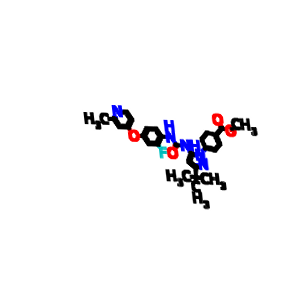 COC(=O)C1=CC=C(n2nc(C(C)(C)C)cc2NC(=O)Nc2ccc(Oc3ccnc(C)c3)cc2F)CC1